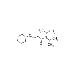 CC(C)N(C(=O)CCOC1CCCCC1)C(C)C